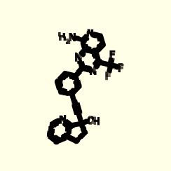 Nc1nccc2c(C(F)(F)F)nc(-c3cccc(C#CC4(O)CCc5cccnc54)c3)nc12